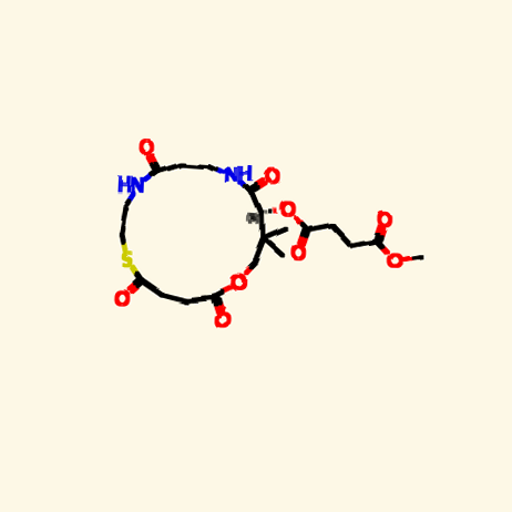 COC(=O)CCC(=O)O[C@H]1C(=O)NCCC(=O)NCCSC(=O)CCC(=O)OCC1(C)C